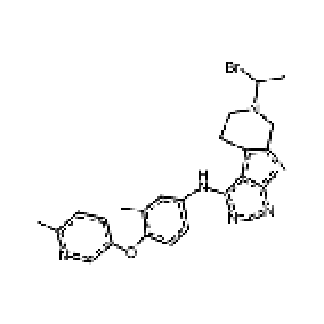 Cc1ccc(Oc2ccc(Nc3ncnc4sc5c(c34)CCN(C(C)Br)C5)cc2C)cn1